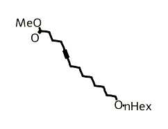 CCCCCCOCCCCCCCCC#CCCCC(=O)OC